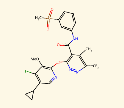 COc1c(Oc2nnc(C(F)(F)F)c(C)c2C(=O)Nc2cccc(S(C)(=O)=O)c2)ncc(C2CC2)c1F